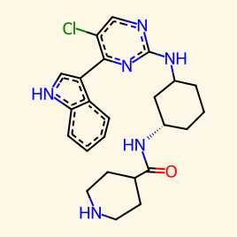 O=C(N[C@H]1CCCC(Nc2ncc(Cl)c(-c3c[nH]c4ccccc34)n2)C1)C1CCNCC1